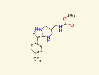 CC(C)(C)OC(=O)NCC1CNc2c(-c3ccc(C(F)(F)F)cc3)cnn2C1